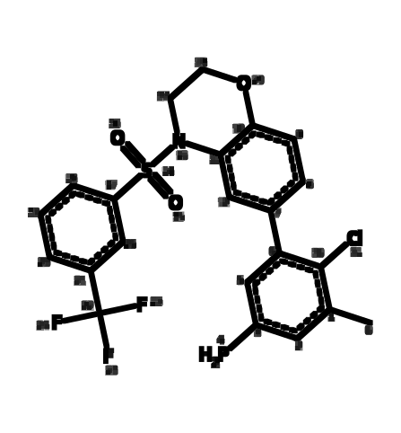 Cc1cc(P)cc(-c2ccc3c(c2)N(S(=O)(=O)c2cccc(C(F)(F)F)c2)CCO3)c1Cl